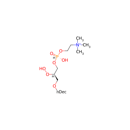 CCCCCCCCCCOC[C@H](CO[P@](=O)(O)OCC[N+](C)(C)C)OO